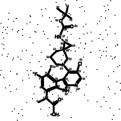 CN(C(=O)O)c1cc(F)c(F)c2c1[nH]c1ncc(Cl)c(N3CCC[C@@]4(C[C@H]4NC(=O)OC(C)(C)C)C3)c12